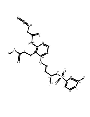 COC(=O)CCc1c(NC(=O)CN=[N+]=[N-])cccc1OCCC(O)OS(=O)(=O)c1cccc(C)c1